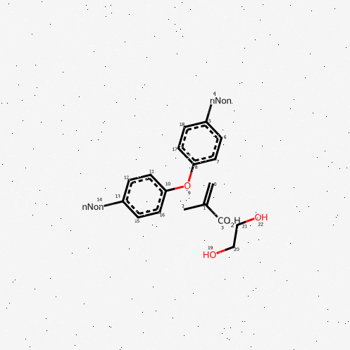 C=C(C)C(=O)O.CCCCCCCCCc1ccc(Oc2ccc(CCCCCCCCC)cc2)cc1.OCCO